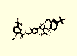 COc1ccc(C(F)(F)F)cc1C(=O)NCc1ccc(-c2nn3c(c2C(N)=O)Nc2ccc(C(C)(C)C)cc2CC3)cc1F